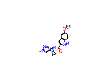 CCOc1ccc2[nH]c(C(=O)NC3(c4cnn(C)c4)CC3)cc2c1